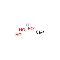 [Ca+2].[Li+].[OH-].[OH-].[OH-]